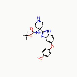 COc1ccc(Oc2ccc3[nH]c(C4(NC(=O)OC(C)(C)C)CCNCC4)nc3c2)cc1